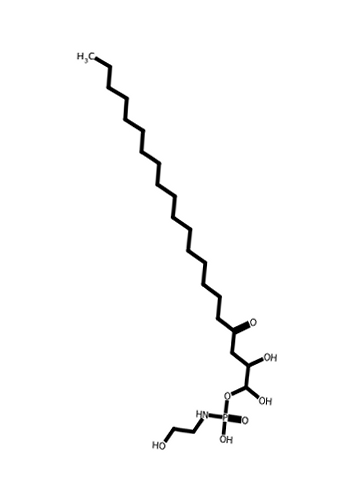 CCCCCCCCCCCCCCCCCC(=O)CC(O)C(O)OP(=O)(O)NCCO